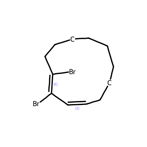 BrC1=C(/Br)CCCCCCCC/C=C\1